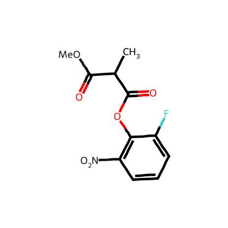 COC(=O)C(C)C(=O)Oc1c(F)cccc1[N+](=O)[O-]